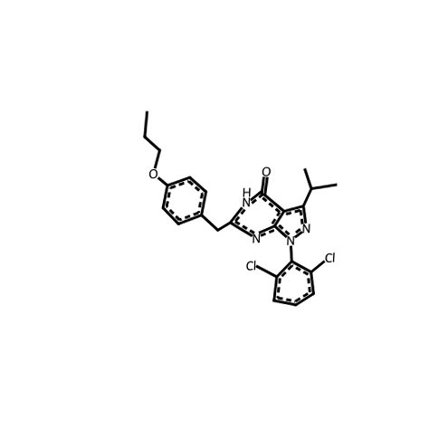 CCCOc1ccc(Cc2nc3c(c(C(C)C)nn3-c3c(Cl)cccc3Cl)c(=O)[nH]2)cc1